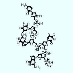 Cc1cn([C@H]2C[C@@H](OP(=O)(S)OCC3O[C@@H](n4cnc5c(=O)[nH]c(N)nc54)C[C@H]3OP(=O)(S)OCC3O[C@@H](n4cc(C)c(=O)[nH]c4=O)C[C@H]3OP(=S)(S)OCC3O[C@@H](n4ccc(N)nc4=O)C[C@H]3C(C)C)C(COP(=O)(S)O[C@@H]3C[C@H](n4cnc5c(=O)[nH]c(N)nc54)OC3COP(=O)(S)OC(C)C)O2)c(=O)[nH]c1=O